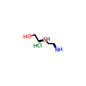 Cl.N=CC[SH]=CCO